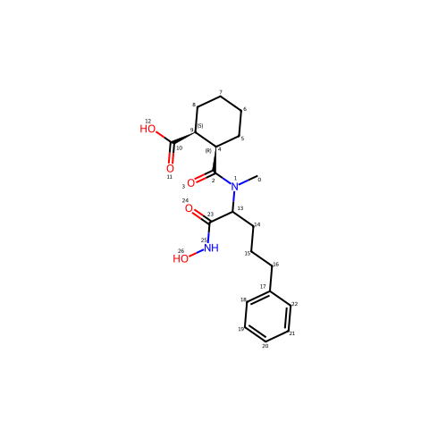 CN(C(=O)[C@@H]1CCCC[C@@H]1C(=O)O)C(CCCc1ccccc1)C(=O)NO